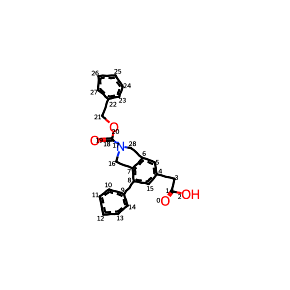 O=C(O)Cc1cc2c(c(-c3ccccc3)c1)CN(C(=O)OCc1ccccc1)C2